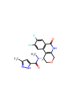 CN(C(=O)c1cc(C(F)(F)F)n[nH]1)[C@H]1COCc2[nH]c(=O)c3cc(F)c(F)cc3c21